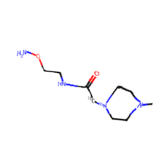 CN1CC[15N]([13CH2]C(=O)NCCON)CC1